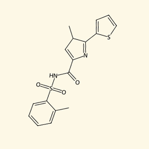 Cc1ccccc1S(=O)(=O)NC(=O)C1=CC(C)C(c2cccs2)=N1